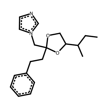 CCC(C)C1COC(CCc2ccccc2)(Cn2ccnc2)O1